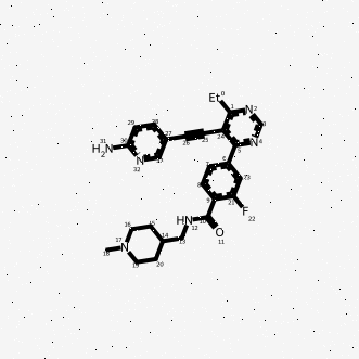 CCc1ncnc(-c2ccc(C(=O)NCC3CCN(C)CC3)c(F)c2)c1C#Cc1ccc(N)nc1